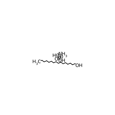 CCCCCCCCCCCCCCCCO.O=S(=O)(O)O.[AlH3]